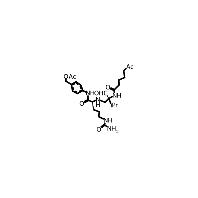 CC(=O)CCCCC(=O)N[C@@](C=O)(CN[C@@H](CCCNC(N)=O)C(=O)Nc1ccc(COC(C)=O)cc1)C(C)C